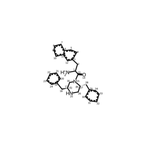 NC(Cc1ccc2ccccc2c1)C(=O)N1C[C@H](Cc2ccccc2)NC[C@H]1Cc1ccccc1